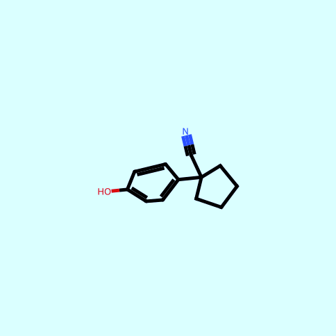 N#CC1(c2ccc(O)cc2)CCCC1